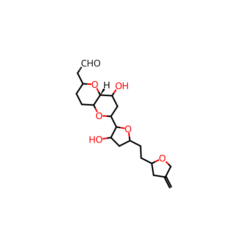 C=C1COC(CCC2CC(O)C(C3CC(O)[C@H]4OC(CC=O)CCC4O3)O2)C1